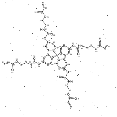 C=CC(=O)OCCNC(=O)Oc1ccc(C(c2ccc(OC(=O)NCCOC(=O)C=C)cc2)(c2ccc(OC(=O)NCCOC(=O)C=C)cc2)c2ccc(OC(=O)NCCOC(=O)C=C)cc2)cc1